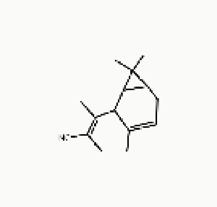 CC1=CCC2C(C1C(C)=C(C)C#N)C2(C)C